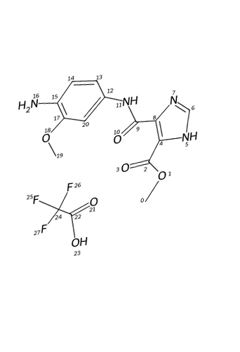 COC(=O)c1[nH]cnc1C(=O)Nc1ccc(N)c(OC)c1.O=C(O)C(F)(F)F